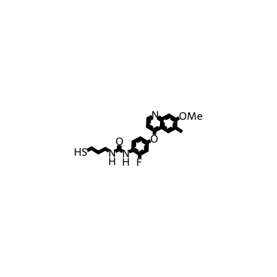 COc1cc2nccc(Oc3ccc(NC(=O)NCCCS)c(F)c3)c2cc1C